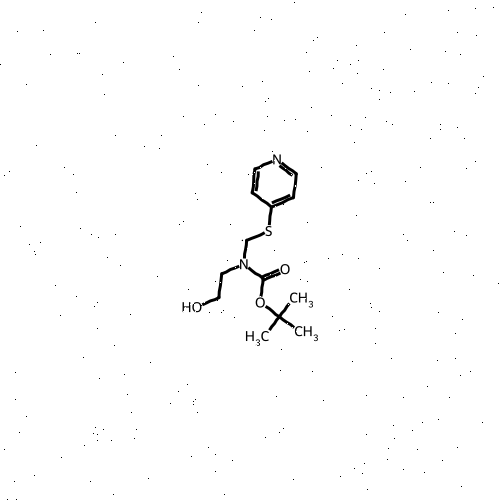 CC(C)(C)OC(=O)N([CH]Sc1ccncc1)CCO